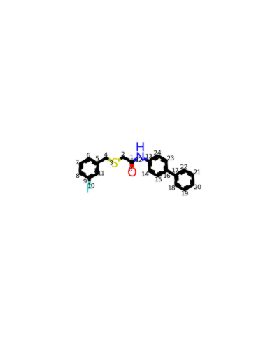 O=C(CSCc1cccc(F)c1)Nc1ccc(-c2ccccc2)cc1